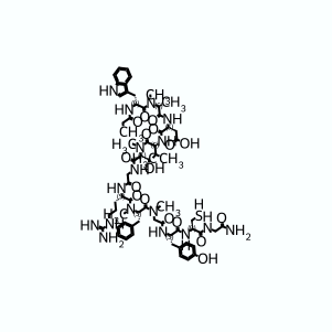 CCC(=O)N[C@H](Cc1c[nH]c2ccccc12)C(=O)N(C)[C@@H](C)C(=O)N[C@@H](CC(=O)O)C(=O)N[C@H](C(=O)N(C)[C@@H](CO)C(=O)NCC(=O)N[C@@H](CCCNC(=N)N)C(=O)N(C)[C@@H](Cc1ccccc1)C(=O)N(C)CC(=O)N[C@@H](Cc1ccc(O)cc1)C(=O)N[C@@H](CS)C(=O)NCC(N)=O)C(C)C